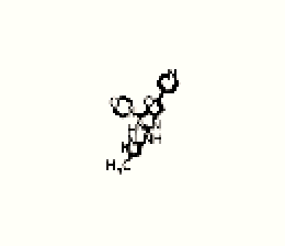 Cc1cc(Nc2nc(N3CCOCC3)c3oc(-c4ccncc4)cc3n2)[nH]n1